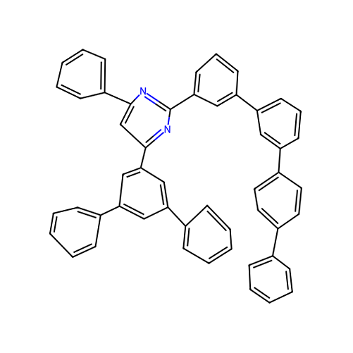 c1ccc(-c2ccc(-c3cccc(-c4cccc(-c5nc(-c6ccccc6)cc(-c6cc(-c7ccccc7)cc(-c7ccccc7)c6)n5)c4)c3)cc2)cc1